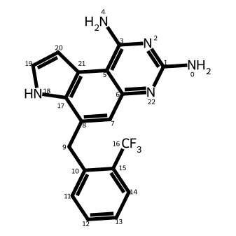 Nc1nc(N)c2c(cc(Cc3ccccc3C(F)(F)F)c3[nH]ccc32)n1